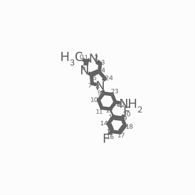 Cc1ncc2c(n1)CN(C1CC[C@H](c3cc(F)ccc3F)C(N)C1)C2